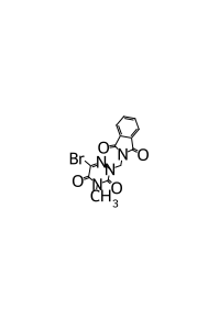 Cn1c(=O)c(Br)nn(CN2C(=O)c3ccccc3C2=O)c1=O